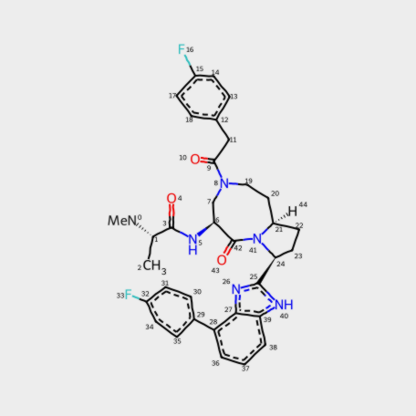 CN[C@@H](C)C(=O)N[C@H]1CN(C(=O)Cc2ccc(F)cc2)CC[C@H]2CC[C@@H](c3nc4c(-c5ccc(F)cc5)cccc4[nH]3)N2C1=O